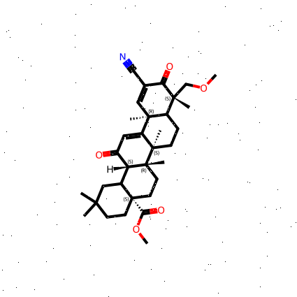 COC[C@@]1(C)C(=O)C(C#N)=C[C@]2(C)C3=CC(=O)[C@H]4C5CC(C)(C)CC[C@]5(C(=O)OC)CC[C@@]4(C)[C@]3(C)CCC12